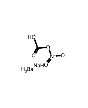 O=C(O)O[N+](=O)[O-].[BaH2].[NaH]